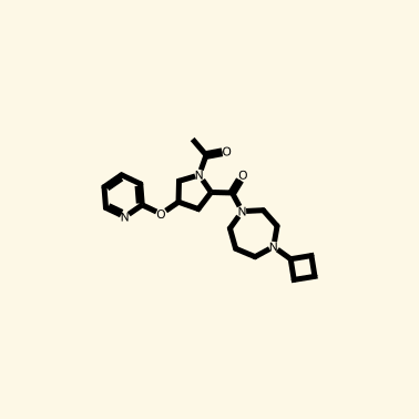 CC(=O)N1CC(Oc2ccccn2)CC1C(=O)N1CCCN(C2CCC2)CC1